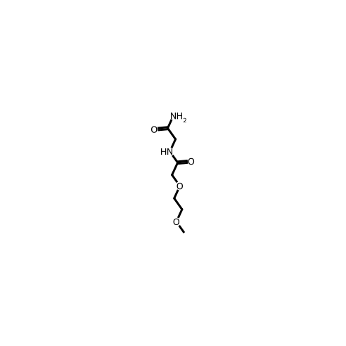 COCCOCC(=O)NCC(N)=O